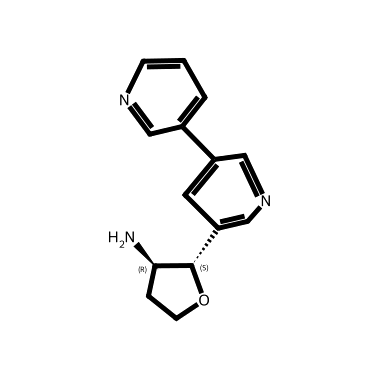 N[C@@H]1CCO[C@H]1c1cncc(-c2cccnc2)c1